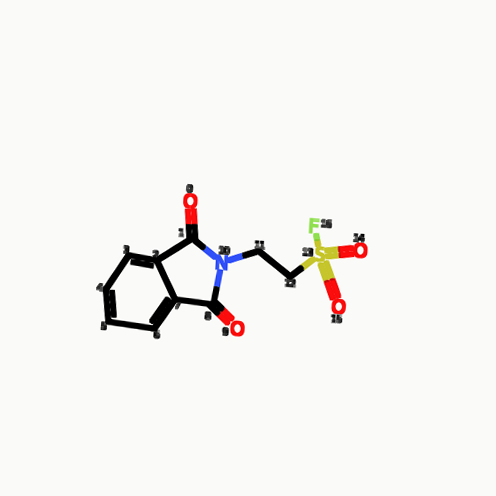 O=C1c2ccccc2C(=O)N1CCS(=O)(=O)F